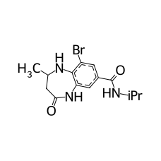 CC(C)NC(=O)c1cc(Br)c2c(c1)NC(=O)CC(C)N2